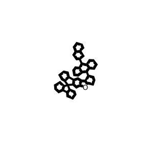 c1ccc2c(c1)-c1ccccc1C21c2ccccc2-c2cc3c(cc21)oc1cccc(-c2c4ccccc4c(-c4ccc5ccccc5c4)c4ccccc24)c13